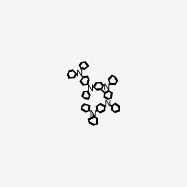 c1ccc(N(c2ccccc2)c2ccc(N(c3ccccc3)c3ccc4c(c3)c3cc(N(c5ccccc5)c5ccc(N(c6ccccc6)c6ccccc6)cc5)ccc3n4-c3ccccc3)cc2)cc1